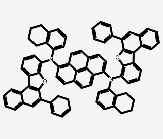 C1=CCCC(c2cc3ccccc3c3c2oc2c(N(c4cccc5c4CCCC5)c4ccc5ccc6c(N(c7cccc8c7CCCC8)c7cccc8c7oc7c(-c9ccccc9)cc9ccccc9c78)ccc7ccc4c5c76)cccc23)=C1